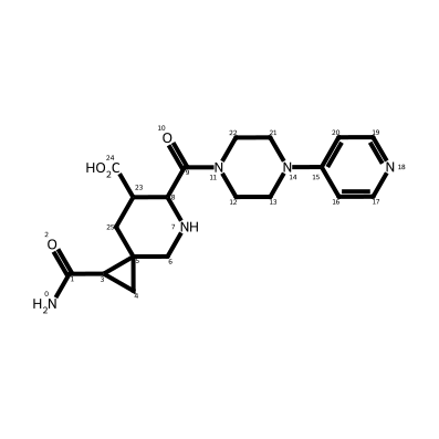 NC(=O)C1CC12CNC(C(=O)N1CCN(c3ccncc3)CC1)C(C(=O)O)C2